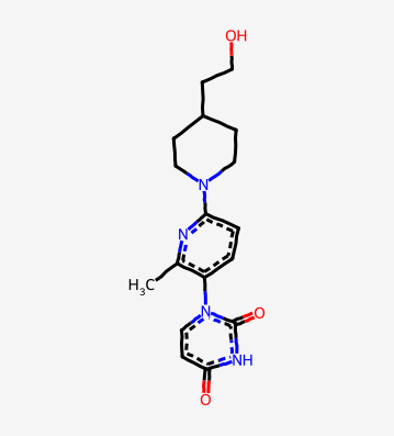 Cc1nc(N2CCC(CCO)CC2)ccc1-n1ccc(=O)[nH]c1=O